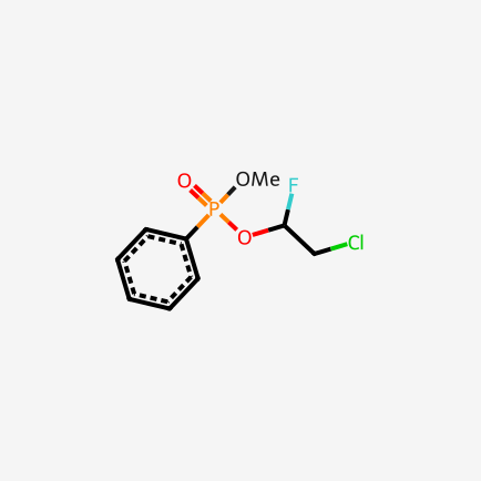 COP(=O)(OC(F)CCl)c1ccccc1